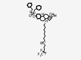 C[C@]12CC[C@@H]3c4ccc(OP(=O)(OCc5ccccc5)OCc5ccccc5)cc4C[C@@H](CCCCCCCCC[S+]([O-])CCCC(F)(F)C(F)(F)F)[C@H]3[C@@H]1CC[C@@H]2O